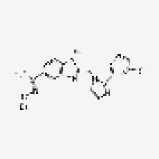 CCON=C(C)c1ccc2c(c1)nc(Cn1ccnc1-c1cccc(Cl)c1)n2CC